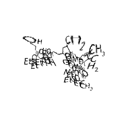 C=C1C(C[C@@H]2O[C@H](CC(C)O[Si](CC)(CC)CC)[C@H](OC)C2CC(=O)CP(=O)(OC)OC)OC(CC[C@@H]2OC(CC[C@@]34C[C@H]5O[C@H]6C(O3)C(O[Si](CC)(CC)CC)[C@H](CCCO)O[C@H]6C5O4)CC2=C)C[C@H]1C